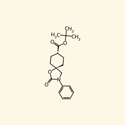 CC(C)(C)OC(=O)[C@H]1CC[C@@]2(CC1)CN(c1ccccc1)C(=O)O2